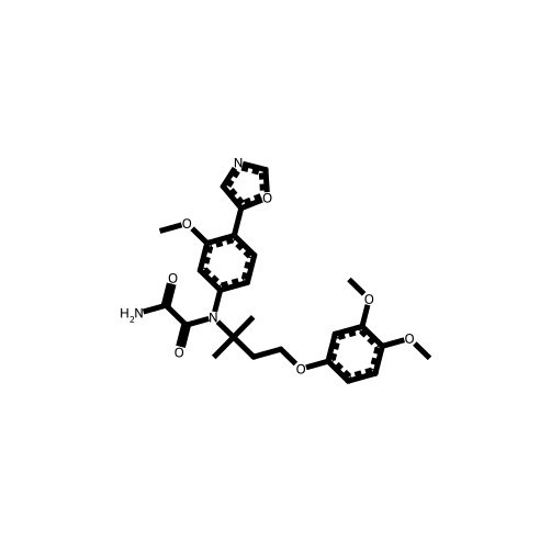 COc1ccc(OCCC(C)(C)N(C(=O)C(N)=O)c2ccc(-c3cnco3)c(OC)c2)cc1OC